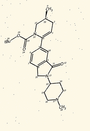 C[C@H]1CC=C(c2ccc3c(c2)C(=O)N(C2CCN(C)CC2)C3)N(C(=O)OC(C)(C)C)C1